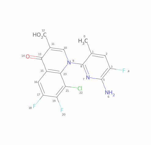 Cc1cc(F)c(N)nc1-n1cc(C(=O)O)c(=O)c2cc(F)c(F)c(Cl)c21